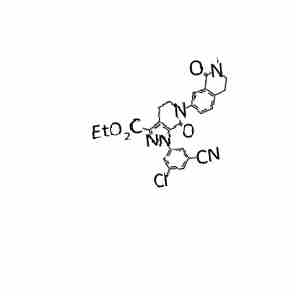 CCOC(=O)c1nn(-c2cc(Cl)cc(C#N)c2)c2c1CCN(c1ccc3c(c1)C(=O)N(C)CC3)C2=O